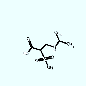 CC(C)NCC(C(=O)O)S(=O)(=O)O